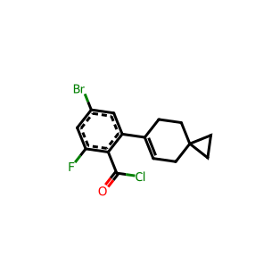 O=C(Cl)c1c(F)cc(Br)cc1C1=CCC2(CC1)CC2